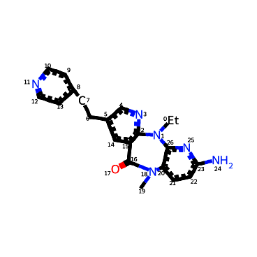 CCN1c2ncc(CCc3ccncc3)cc2C(=O)N(C)c2ccc(N)nc21